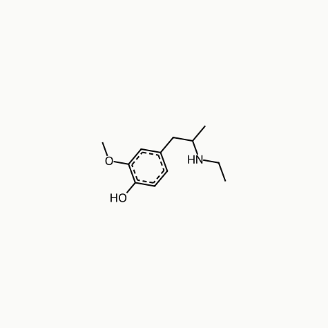 CCNC(C)Cc1ccc(O)c(OC)c1